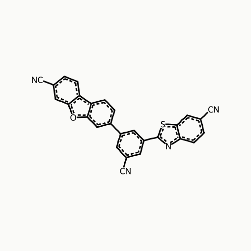 N#Cc1cc(-c2ccc3c(c2)oc2cc(C#N)ccc23)cc(-c2nc3ccc(C#N)cc3s2)c1